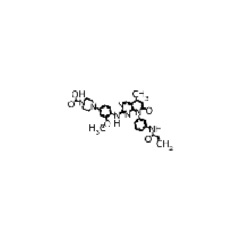 C=CC(=O)Nc1cccc(-n2c(=O)cc(C)c3cnc(Nc4ccc(N5CCN(C(=O)O)CC5)cc4OC)nc32)c1